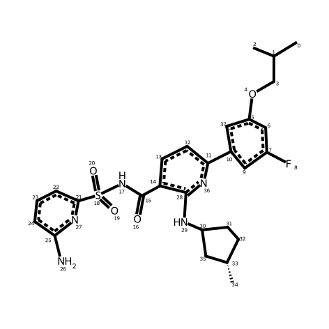 CC(C)COc1cc(F)cc(-c2ccc(C(=O)NS(=O)(=O)c3cccc(N)n3)c(NC3CC[C@H](C)C3)n2)c1